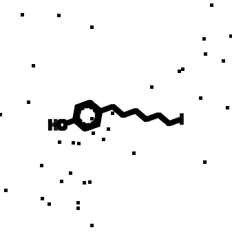 Oc1ccc(CCCCCCI)cc1